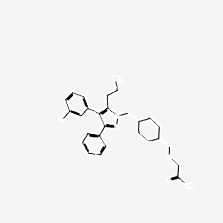 NCCc1c(-c2cccc(Cl)c2)c(-c2ccccc2)nn1C[C@H]1CC[C@@H](COCC(=O)O)CC1